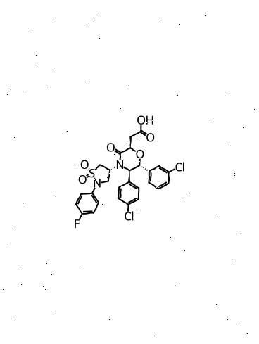 O=C(O)C[C@H]1O[C@H](c2cccc(Cl)c2)[C@@H](c2ccc(Cl)cc2)N([C@@H]2CN(c3ccc(F)cc3)S(=O)(=O)C2)C1=O